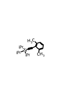 Cc1cccc(C)c1C#C[Si](C(C)C)(C(C)C)C(C)C